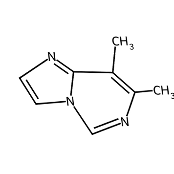 Cc1ncn2ccnc2c1C